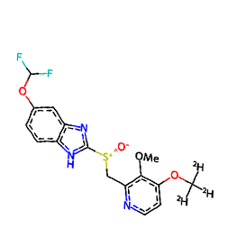 [2H]C([2H])([2H])Oc1ccnc(C[S@@+]([O-])c2nc3cc(OC(F)F)ccc3[nH]2)c1OC